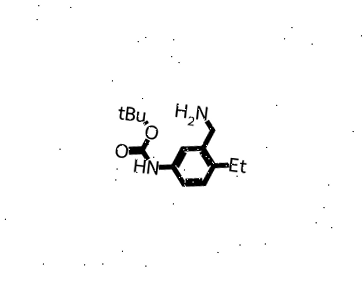 CCc1ccc(NC(=O)OC(C)(C)C)cc1CN